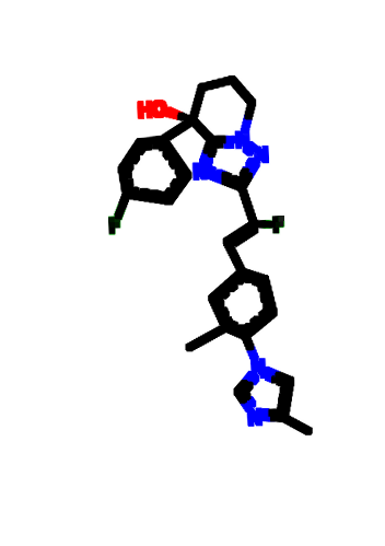 Cc1cn(-c2ccc(/C=C(\F)c3nc4n(n3)CCC[C@@]4(O)c3ccc(F)cc3)cc2C)cn1